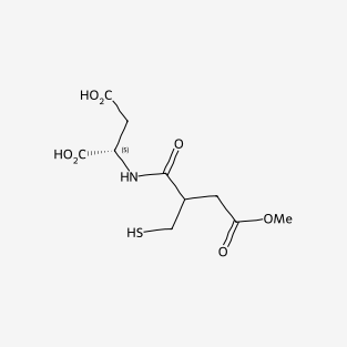 COC(=O)CC(CS)C(=O)N[C@@H](CC(=O)O)C(=O)O